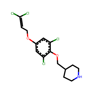 ClC(Cl)=CCOc1cc(Cl)c(OCC2CCNCC2)c(Cl)c1